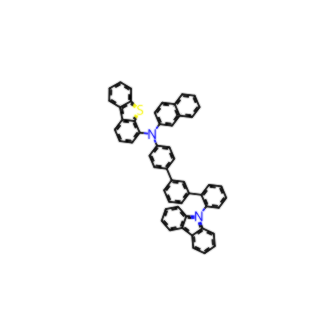 c1cc(-c2ccc(N(c3ccc4ccccc4c3)c3cccc4c3sc3ccccc34)cc2)cc(-c2ccccc2-n2c3ccccc3c3ccccc32)c1